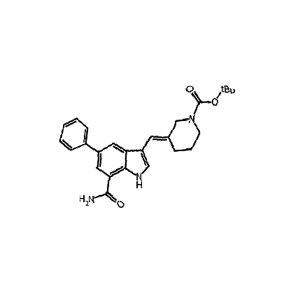 CC(C)(C)OC(=O)N1CCC/C(=C\c2c[nH]c3c(C(N)=O)cc(-c4ccccc4)cc23)C1